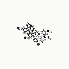 CC(C)(C)c1ccc(N2c3cc(C4c5ccc(C(C)(C)C)cc5C5(C)CCC45C)ccc3B3c4ccccc4N(c4ccc(C(C)(C)C)cc4-c4ccccc4)c4cc(C(C)(C)C)cc2c43)cc1